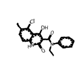 CCN(C(=O)c1c(O)c2c(Cl)c(C)ccc2[nH]c1=O)c1ccccc1